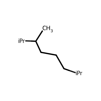 CC(C)CCCC(C)C(C)C